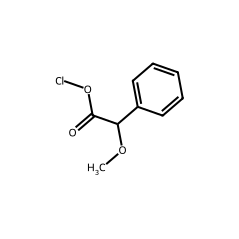 COC(C(=O)OCl)c1ccccc1